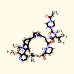 C=CC(=O)N1CCN(C(=O)N(C)C(C(=O)N[C@H]2Cc3nc(cs3)-c3ccc4c(c3)c(c(-c3cccnc3[C@H](C)OC)n4CC)CC(C)(C)COC(=O)[C@@H]3CCCN(N3)C2=O)C(C)C)CC1